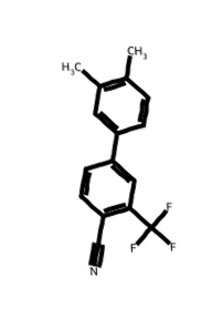 Cc1ccc(-c2ccc(C#N)c(C(F)(F)F)c2)cc1C